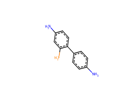 Nc1ccc(-c2ccc(N)cc2P)cc1